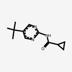 CC(C)(C)c1cnc(NC(=O)C2CC2)nc1